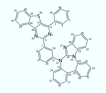 c1ccc(-c2nc(-c3cccc(N4c5ccccc5-c5ccccc5-n5c4nc4ccccc45)c3)nc3c2sc2ccccc23)cc1